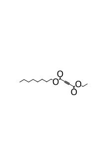 CCCCCCCCOC(=O)C#CC(=O)OCC